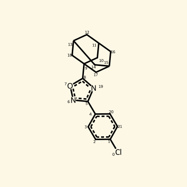 Clc1ccc(-c2noc(C34CC5CC(CC(C5)C3)C4)n2)cc1